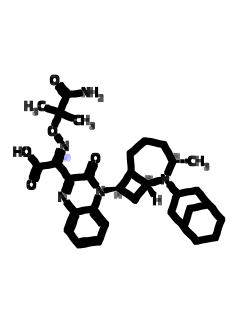 C[C@H]1CCCC2[C@@H](C[C@H]2n2c(=O)c(/C(=N/OC(C)(C)C(N)=O)C(=O)O)nc3ccccc32)N1C1CC2CCCC(C2)C1